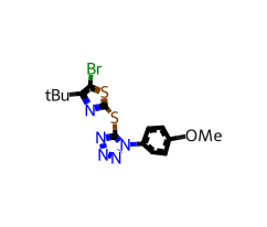 COc1ccc(-n2nnnc2Sc2nc(C(C)(C)C)c(Br)s2)cc1